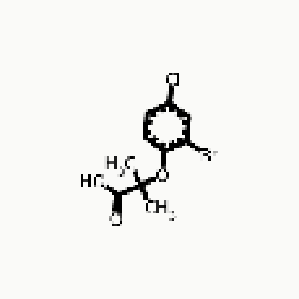 CC(C)(Oc1ccc(Cl)cc1Br)C(=O)O